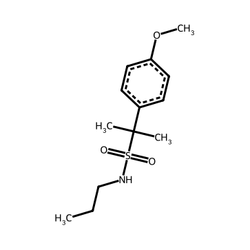 CCCNS(=O)(=O)C(C)(C)c1ccc(OC)cc1